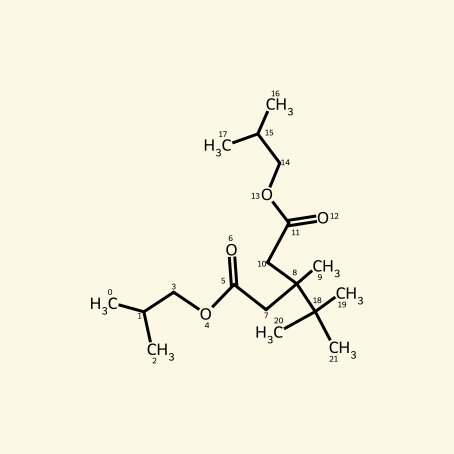 CC(C)COC(=O)CC(C)(CC(=O)OCC(C)C)C(C)(C)C